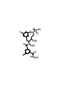 CCCNC(=O)c1cc(C)cc(C(=O)N(CCC)C(Cc2cc(F)cc(F)c2)C(O)CCNS(=O)(=O)CCC)c1